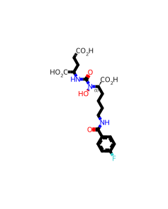 O=C(O)CCC(NC(=O)N(O)[C@@H](CCCCNC(=O)c1ccc(F)cc1)C(=O)O)C(=O)O